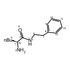 CCCC[C@H](N)C(=O)NCCc1ccccc1